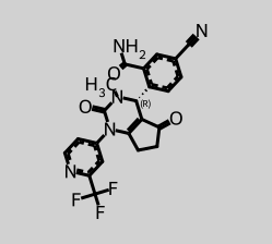 CN1C(=O)N(c2ccnc(C(F)(F)F)c2)C2=C(C(=O)CC2)[C@H]1c1ccc(C#N)cc1C(N)=O